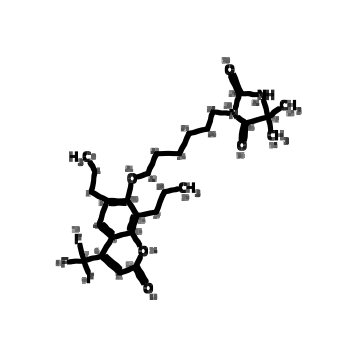 CCCc1cc2c(C(F)(F)F)cc(=O)oc2c(CCC)c1OCCCCCCN1C(=O)NC(C)(C)C1=O